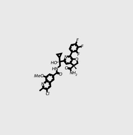 COc1cc(C(=O)NC[C@](O)(c2cc3c(c(-c4ccc(F)c(F)c4F)n2)OC[C@]3(C)C(N)=O)C2CC2)cc2cc(Cl)c(C)nc12